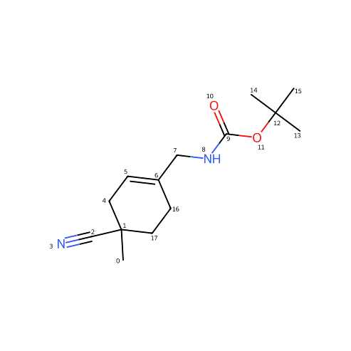 CC1(C#N)CC=C(CNC(=O)OC(C)(C)C)CC1